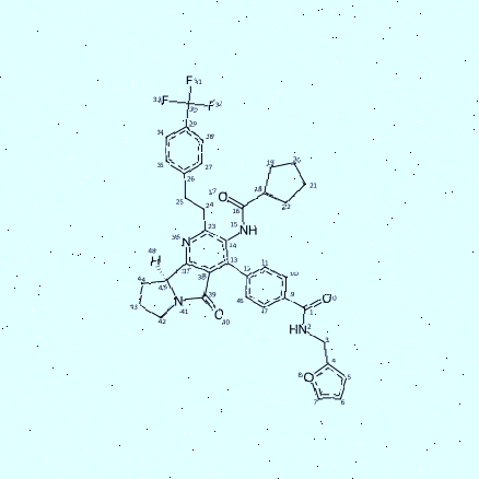 O=C(NCc1ccco1)c1ccc(-c2c(NC(=O)C3CCCC3)c(CCc3ccc(C(F)(F)F)cc3)nc3c2C(=O)N2CCC[C@@H]32)cc1